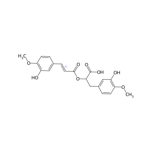 COc1ccc(/C=C/C(=O)OC(Cc2ccc(OC)c(O)c2)C(=O)O)cc1O